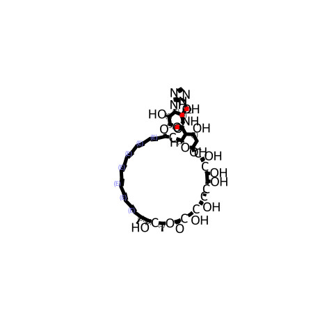 C[C@H]1C[C@H](O)[C@@H](C)/C=C/C=C/C=C/C=C/C=C/C=C/C=C/C(O[C@@H]2OC[C@@H](O)[C@H](N)[C@@H]2O)C[C@@H]2OC(O)(CC(O)CC(O)C(O)CCC(O)CC(O)CC(=O)O1)C[C@H](O)C2C(=O)NCCn1cncn1